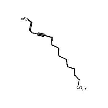 CCCCC=CC#CCCCCCCCCCC(=O)O